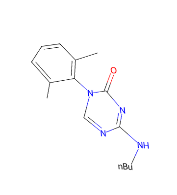 CCCCNc1ncn(-c2c(C)cccc2C)c(=O)n1